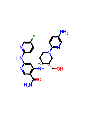 NC(=O)c1cnc(Nc2ccc(F)cn2)cc1N[C@@H]1CCN(c2ccc(N)cn2)C[C@@H]1CO